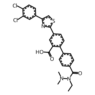 CCN(C(=O)c1ccc(-c2ccc(-c3nc(-c4ccc(Cl)c(Cl)c4)cs3)cc2C(=O)O)cc1)N(C)C